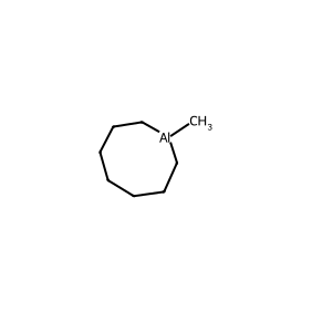 [CH3][Al]1[CH2]CCCCC[CH2]1